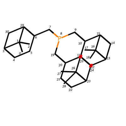 CC1(C)C2CCC(CP(CC3CCC4CC3C4(C)C)CC3CCC4CC3C4(C)C)C1C2